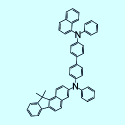 CC1(C)c2ccccc2-c2ccc3cc(N(c4ccccc4)c4ccc(-c5ccc(N(c6ccccc6)c6cccc7ccccc67)cc5)cc4)ccc3c21